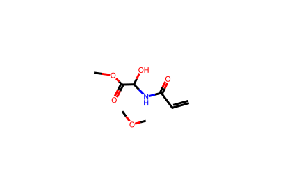 C=CC(=O)NC(O)C(=O)OC.COC